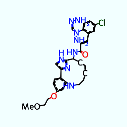 COCCOc1ccc2c(c1)NCCCCC[C@H](NC(=O)/C=C/c1cc(Cl)ccc1N(N)/C=N\N)c1nc-2c[nH]1